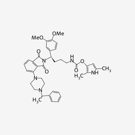 COc1ccc([C@@H](CCCNC(=O)Oc2cc(C)[nH]c2C)N2C(=O)c3cccc(N4CCN([C@H](C)c5ccccc5)CC4)c3C2=O)cc1OC